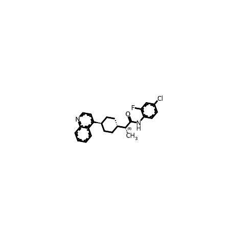 C[C@@H](C(=O)Nc1ccc(Cl)cc1F)[C@H]1CC[C@H](c2ccnc3ccccc32)CC1